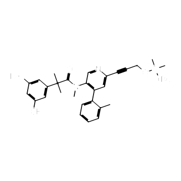 Cc1ccccc1-c1cc(C#CCO[Si](C)(C)C(C)(C)C)ncc1N(C)C(=O)C(C)(C)c1cc(C(F)(F)F)cc(C(F)(F)F)c1